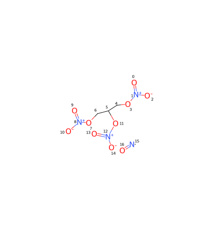 O=[N+]([O-])OCC(CO[N+](=O)[O-])O[N+](=O)[O-].[N]=O